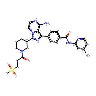 CS(=O)(=O)CCC(=O)N1CCCC(c2nc(-c3ccc(C(=O)Nc4cc(C(F)(F)F)ccn4)cc3)c3c(N)nccn23)C1